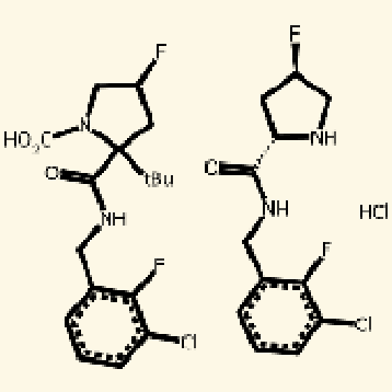 CC(C)(C)C1(C(=O)NCc2cccc(Cl)c2F)CC(F)CN1C(=O)O.Cl.O=C(NCc1cccc(Cl)c1F)[C@@H]1C[C@@H](F)CN1